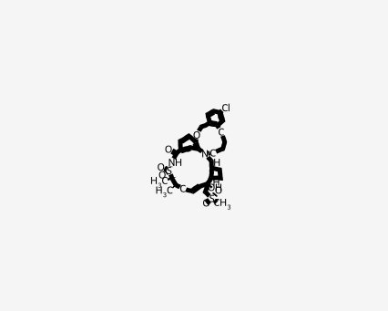 C[C@@H]1[C@@H](C)C/C=C/[C@@](O)(CS(C)(=O)=O)[C@@H]2CC[C@H]2CN2CCCCc3cc(Cl)ccc3COc3ccc(cc32)C(=O)NS1(=O)=O